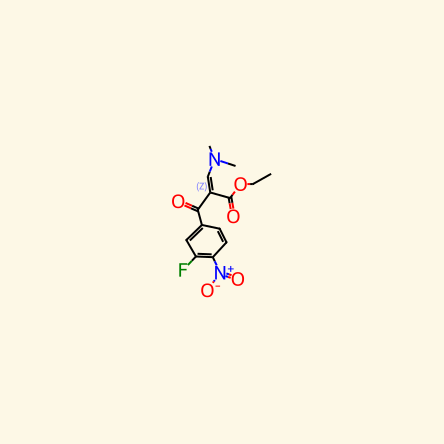 CCOC(=O)/C(=C\N(C)C)C(=O)c1ccc([N+](=O)[O-])c(F)c1